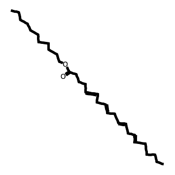 CCCCCC=CCC=CCC=CCC=CCCCC(=O)OCCCCCCCCCCC